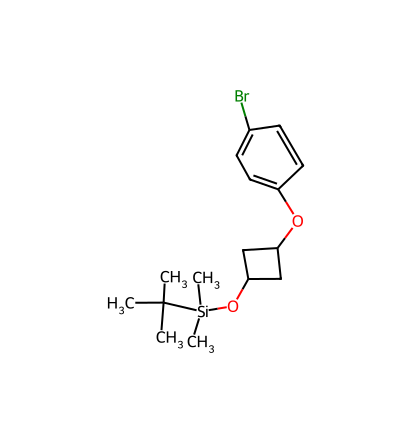 CC(C)(C)[Si](C)(C)OC1CC(Oc2ccc(Br)cc2)C1